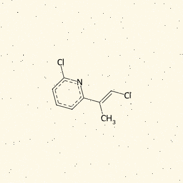 CC(=CCl)c1cccc(Cl)n1